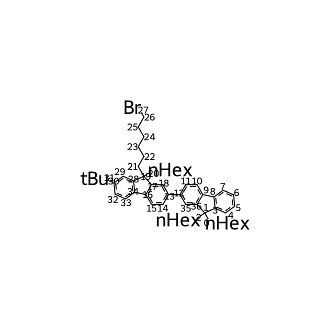 CCCCCCC1(CCCCCC)c2ccccc2-c2ccc(-c3ccc4c(c3)C(CCCCCC)(CCCCCCBr)c3cc(C(C)(C)C)ccc3-4)cc21